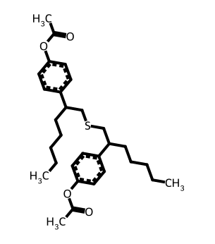 CCCCCC(CSCC(CCCCC)c1ccc(OC(C)=O)cc1)c1ccc(OC(C)=O)cc1